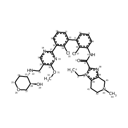 CCn1c(C(=O)Nc2cccc(-c3cccc(-c4ncc(CN[C@H]5CCOC[C@@H]5O)c(OC)n4)c3Cl)c2Cl)nc2c1CCN(C)C2